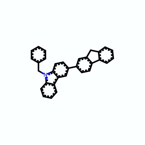 c1ccc(Cn2c3ccccc3c3cc(-c4ccc5c(c4)Cc4ccccc4-5)ccc32)cc1